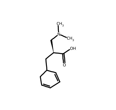 CN(C)C[C@H](CC1C=CC=CC1)C(=O)O